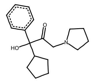 O=C(CN1CCCC1)C(O)(c1ccccc1)C1CCCC1